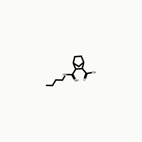 CCCCNC(=N)C1C2CCC(C2)C1C(=O)O